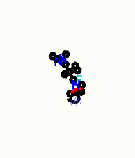 C=C1/C=C\C=C/CC2(c3ccccc31)c1ccccc1-c1c(N(c3ccc(-c4c5c(c(-c6ccc(N(c7ccccc7)c7cc8ccccc8cn7)cc6)c6ccccc46)-c4cccc6cccc-5c46)cc3)c3ccccc3F)cccc12